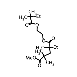 CCC(C)(C)C(=O)OCCOC(=O)C(C)(CC)CC(C)(C)C(=O)OC